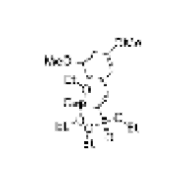 CCOP(=O)(OCC)C(=Cc1cc(OC)cc(OC)c1)P(=O)(OCC)OCC